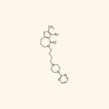 CC(=O)c1c(C)sc2c1C(=O)N(CCCCN1CCN(c3ncccn3)CC1)CCC2